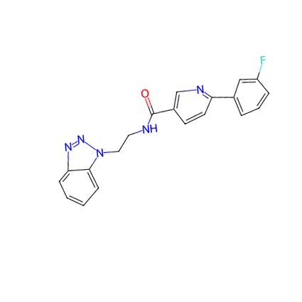 O=C(NCCn1nnc2ccccc21)c1ccc(-c2cccc(F)c2)nc1